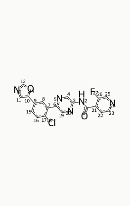 O=C(Nc1cnc(-c2cc(-c3cnco3)ccc2Cl)cn1)c1ccncc1F